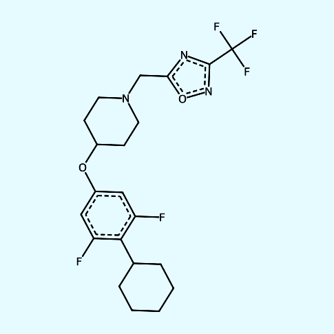 Fc1cc(OC2CCN(Cc3nc(C(F)(F)F)no3)CC2)cc(F)c1C1CCCCC1